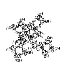 CC(C)N(CC(=O)NCC(CNC(=O)CN(C(=O)CN1CCN(CC(=O)O)CCN(CC(=O)O)CCN(CC(=O)O)CC1)C(C)C)(CNC(=O)CN(C(=O)CN1CCN(CC(=O)O)CCN(CC(=O)O)CCN(CC(=O)O)CC1)C(C)C)CNC(=O)CN(C(=O)CN1CCN(CC(=O)O)CCN(CC(=O)O)CCN(CC(=O)O)CC1)C(C)C)C(=O)CN1CCN(CC(=O)O)CCN(CC(=O)O)CCN(CC(=O)O)CC1